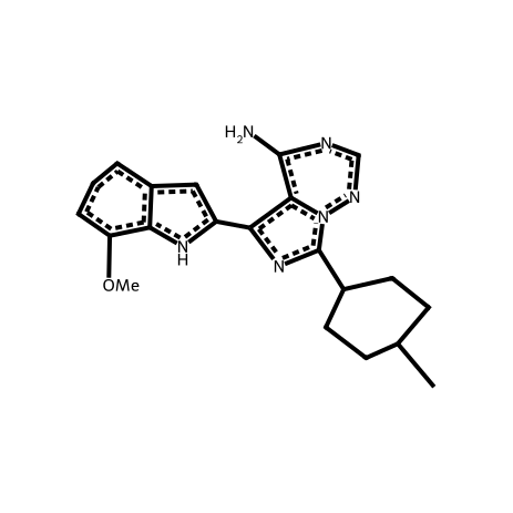 COc1cccc2cc(-c3nc(C4CCC(C)CC4)n4ncnc(N)c34)[nH]c12